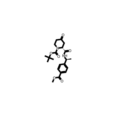 COC(=O)c1ccc([C@H](C)NC(=O)[C@H]2CC(=O)CCN2C(=O)OC(C)(C)C)cc1